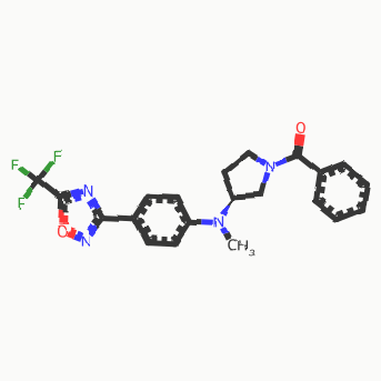 CN(c1ccc(-c2noc(C(F)(F)F)n2)cc1)[C@H]1CCN(C(=O)c2ccccc2)C1